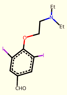 CCN(CC)CCOc1c(I)cc(C=O)cc1I